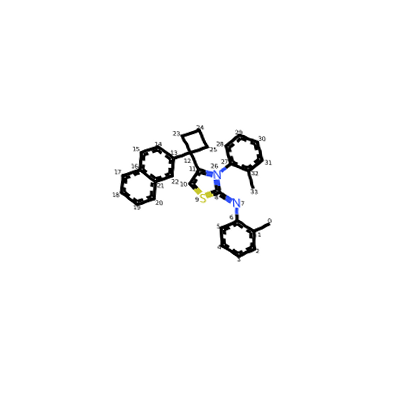 Cc1ccccc1N=c1scc(C2(c3ccc4ccccc4c3)CCC2)n1-c1ccccc1C